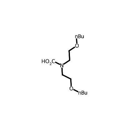 CCCCOCCN(CCOCCCC)C(=O)O